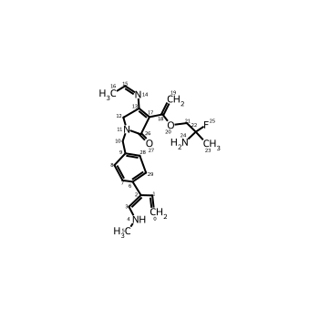 C=C/C(=C\NC)c1ccc(CN2CC(/N=C\C)=C(C(=C)OCC(C)(N)F)C2=O)cc1